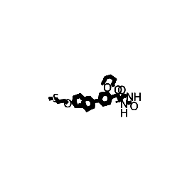 CSCCOc1ccc2cc(-c3ccc(C(O[C@@H]4CCCCO4)[C@@]4(C)NC(=O)NC4=O)cc3)ccc2c1